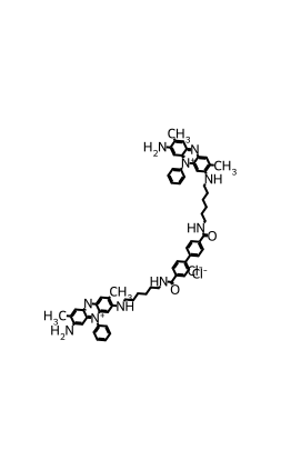 Cc1cc2nc3cc(C)c(NCCCCCCNC(=O)c4ccc(-c5ccc(C(=O)NCCCCCCNc6cc7c(cc6C)nc6cc(C)c(N)cc6[n+]7-c6ccccc6)cc5)cc4)cc3[n+](-c3ccccc3)c2cc1N.[Cl-].[Cl-]